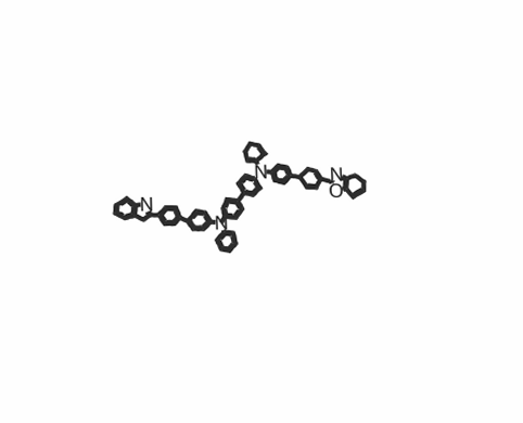 C1=CC(N(c2ccc(-c3ccc(N(c4ccccc4)c4ccc(-c5ccc(C6=Nc7ccccc7C6)cc5)cc4)cc3)cc2)c2ccc(C3C=CC(c4nc5c(o4)C=CCC5)=CC3)cc2)=CCC1